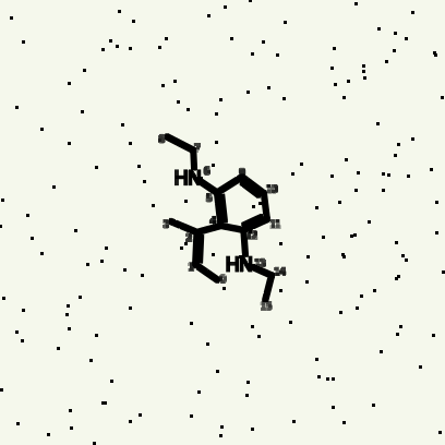 C/C=C(/C)c1c(NCC)cccc1NCC